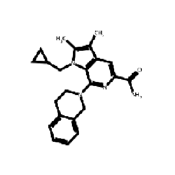 Cc1c(C)n(CC2CC2)c2c(N3CCc4ccccc4C3)nc(C(N)=O)cc12